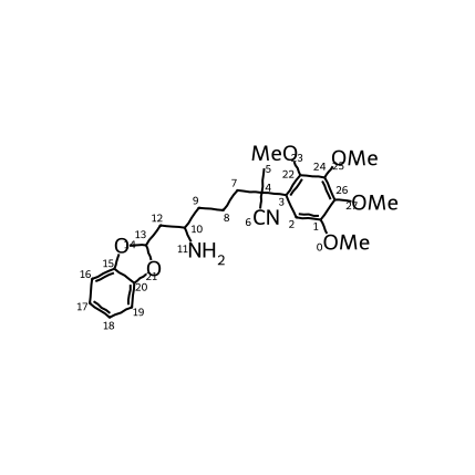 COc1cc(C(C)(C#N)CCCC(N)CC2Oc3ccccc3O2)c(OC)c(OC)c1OC